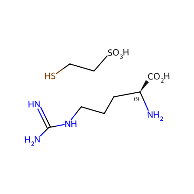 N=C(N)NCCC[C@H](N)C(=O)O.O=S(=O)(O)CCS